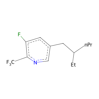 CCCC(CC)Cc1cnc(C(F)(F)F)c(F)c1